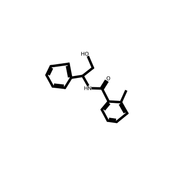 Cc1ccccc1C(=O)NC(CO)c1ccccc1